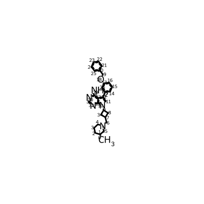 CC1CCCN(CC2CC(n3cc(-c4cccc(OCc5ccccc5)c4)c4c(N)ncnc43)C2)C1